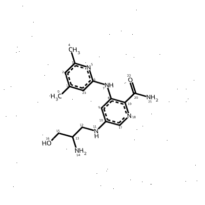 Cc1cc(C)nc(Nc2cc(NCC(N)CO)cnc2C(N)=O)c1